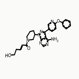 Nc1ncnc2c1c(-c1ccc(Oc3ccccc3)nc1)nn2C1CCCN(C(=O)C=CCCO)C1